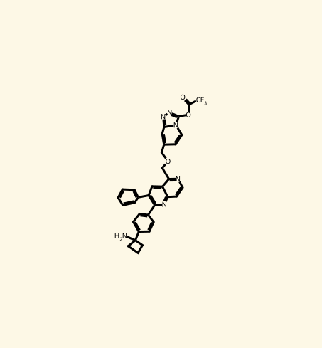 NC1(c2ccc(-c3nc4ccnc(COCc5ccn6c(OC(=O)C(F)(F)F)nnc6c5)c4cc3-c3ccccc3)cc2)CCC1